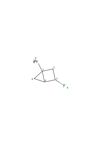 CC(C)C12CC(F)C1C2